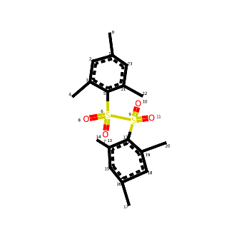 Cc1cc(C)c(S(=O)(=O)S(=O)(=O)c2c(C)cc(C)cc2C)c(C)c1